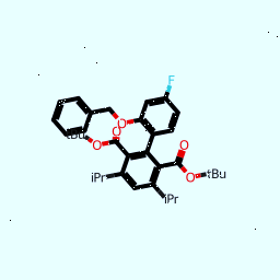 CC(C)c1cc(C(C)C)c(C(=O)OC(C)(C)C)c(-c2ccc(F)cc2OCc2ccccc2)c1C(=O)OC(C)(C)C